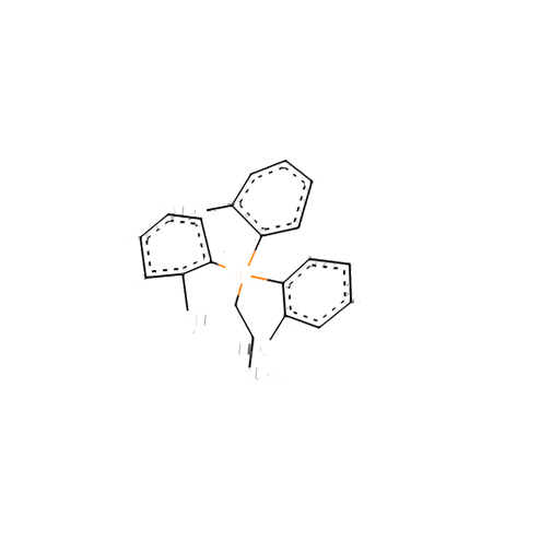 CCCCCCCCCCCC[PH](c1ccccc1C)(c1ccccc1C)c1ccccc1C